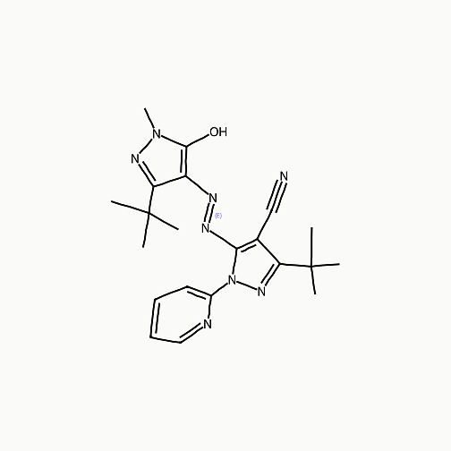 Cn1nc(C(C)(C)C)c(/N=N/c2c(C#N)c(C(C)(C)C)nn2-c2ccccn2)c1O